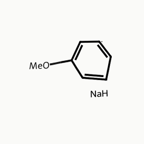 COc1c[c]ccc1.[NaH]